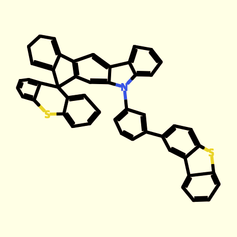 C1=C2C(=CCC1)C1(c3ccccc3Sc3ccccc31)c1cc3c(cc12)c1ccccc1n3-c1cccc(-c2ccc3sc4ccccc4c3c2)c1